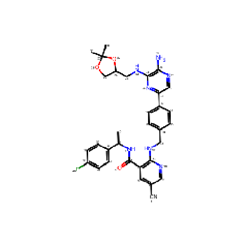 CC(NC(=O)c1cc(C#N)cnc1NCc1ccc(-c2cnc(N)c(NCC3COC(C)(C)O3)n2)cc1)c1ccc(F)cc1